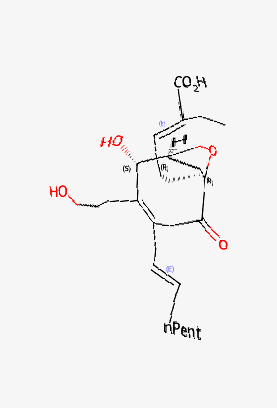 CCCCC/C=C/C1=C(CO)[C@H](O)[C@H]2O[C@@]2(C/C=C(\C)C(=O)O)C1=O